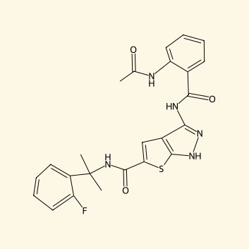 CC(=O)Nc1ccccc1C(=O)Nc1n[nH]c2sc(C(=O)NC(C)(C)c3ccccc3F)cc12